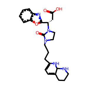 O=C(O)C[C@@H](c1nc2ccccc2o1)N1CCN(CCCC2=CC=C3CCCNC3N2)C1=O